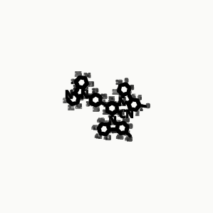 Cc1ccc2c(c1)c1ccccc1n2-c1cc(-c2ccc(-n3c4ccccc4c4ncccc43)cc2)cc(-n2c3ccccc3c3cc(C)ccc32)c1C#N